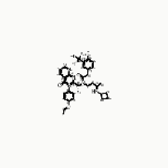 CCOc1ccc(-n2c([C@@H](C)N(CCC(C)NC3CCC3)C(=O)Cc3ccc(F)c(C(F)(F)F)c3)nc3ncccc3c2=O)cc1